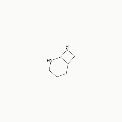 C1CNC2NCC2C1